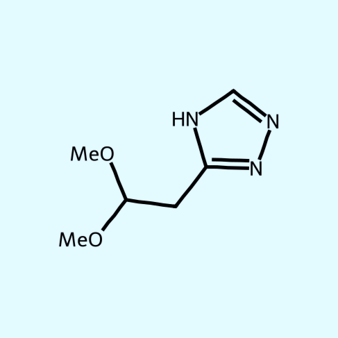 COC(Cc1nnc[nH]1)OC